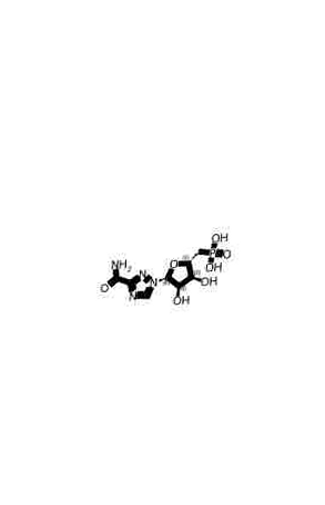 NC(=O)c1ncn([C@@H]2O[C@H](CP(=O)(O)O)[C@@H](O)[C@H]2O)n1